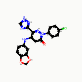 O=c1cc(Nc2ccc3c(c2)OCO3)c(-c2nc[nH]n2)nn1-c1ccc(Cl)cc1